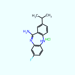 CC(C)c1ccc2c(c1)C(N)=Nc1cc(F)ccc1N2.Cl